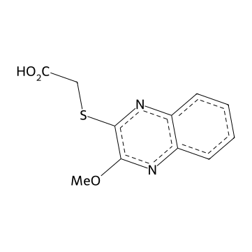 COc1nc2ccccc2nc1SCC(=O)O